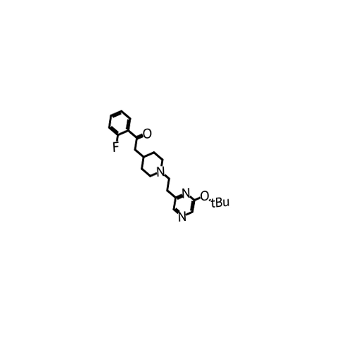 CC(C)(C)Oc1cncc(CCN2CCC(CC(=O)c3ccccc3F)CC2)n1